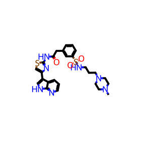 CN1CCN(CCCNS(=O)(=O)c2cccc(CC(=O)Nc3nc(-c4c[nH]c5ncccc45)cs3)c2)CC1